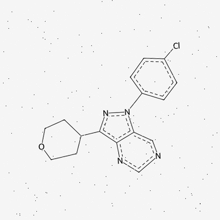 Clc1ccc(-n2nc(C3CCOCC3)c3ncncc32)cc1